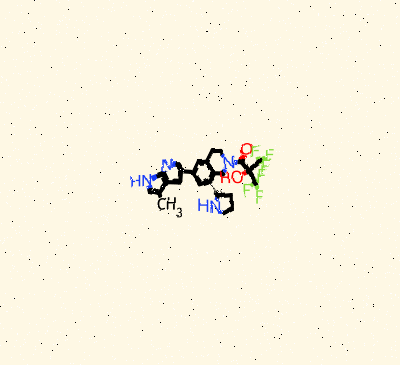 Cc1c[nH]c2ncc(-c3cc4c(c([C@@H]5CCCN5)c3)CN(C(=O)C(O)(C(F)(F)F)C(F)(F)F)CC4)cc12